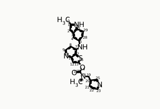 Cc1cc2cc(Nc3ccnc4cc(OC(=O)N(C)Cc5cccnc5)sc34)ccc2[nH]1